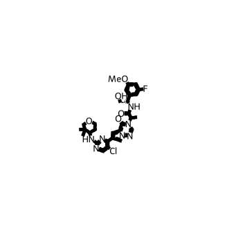 COc1cc(F)cc([C@@H](CO)NC(=O)C(C)n2cnn3cc(-c4nc(NC5CCOCC5(C)C)ncc4Cl)cc3c2=O)c1